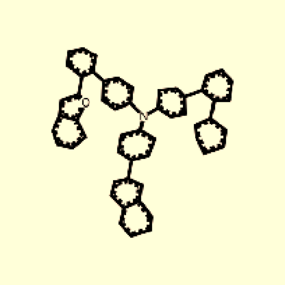 c1ccc(-c2ccccc2-c2ccc(N(c3ccc(-c4ccc5ccccc5c4)cc3)c3ccc(-c4ccccc4-c4cc5ccccc5o4)cc3)cc2)cc1